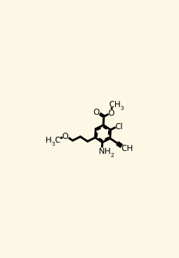 C#Cc1c(N)c(CCCOC)cc(C(=O)OC)c1Cl